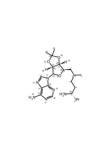 CC(C)[C@H](N)CCN(C)C[C@H]1OC(n2cnc3c(N)ncnc32)[C@@H]2OC(C)(C)O[C@H]12